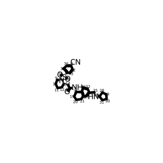 N#Cc1ccc(S(=O)(=O)N2CCCC[C@H]2CC(=O)N[C@@H]2CCCc3cc(CNC4CCCC4)ccc32)cc1